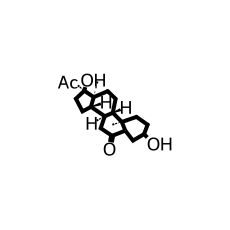 CC(=O)[C@@]1(O)CC[C@H]2[C@@H]3CC(=O)C4CC(O)CC[C@]4(C)[C@H]3CC[C@@]21C